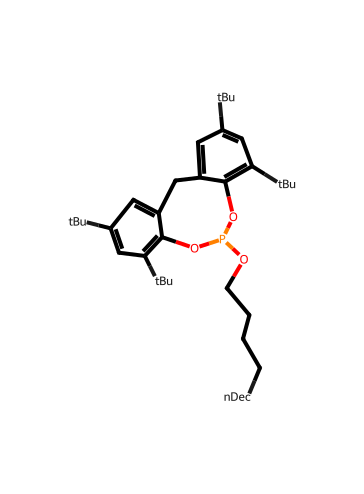 CCCCCCCCCCCCCCOP1Oc2c(cc(C(C)(C)C)cc2C(C)(C)C)Cc2cc(C(C)(C)C)cc(C(C)(C)C)c2O1